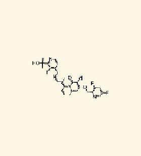 C=C/C(=C(C)\C=N/Cc1ccnc(C(C)(C)O)c1F)n1c(C)cc(OCc2ncc(F)cc2F)c(Cl)c1=O